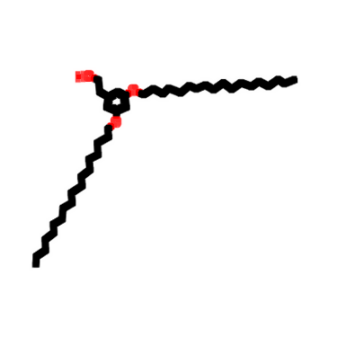 CCCCCCCCCCCCCCCCCCOc1cc(CCO)cc(OCCCCCCCCCCCCCCCCCC)c1